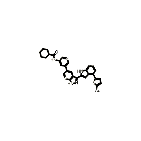 CC(=O)c1ccc(-c2cccc3[nH]c(-c4n[nH]c5ncc(-c6cncc(NC(=O)C7CCCCC7)c6)cc45)cc23)s1